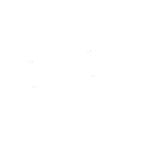 COC(=O)C#CC(=O)OCC(C)(C)C